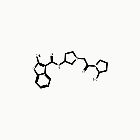 Cc1oc2ccccc2c1C(=O)NC1CCN(CC(=O)N2CCCC2C#N)C1